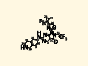 O=c1c2cnc(Nc3ccc4c(c3)CCNC4)nc2n(-c2nc(C3(CF)CC3)co2)n1CC(F)(F)F